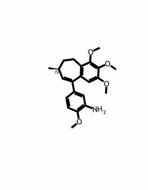 COc1ccc(C2=C[C@@H](C)CCc3c2cc(OC)c(OC)c3OC)cc1N